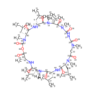 CC(C)C[C@@H]1C(=O)N[C@H](CC(C)C)C(=O)N(C)C(C(C)C)C(=O)N(C)C(=O)NC(=O)N(C)CC(=O)N(C)[C@@H](CC(C)C)C(=O)N[C@H](CC(C)C)C(=O)N(C)[C@H](CC(C)C)C(=O)N[C@H](C)C(=O)OC(=O)N1C